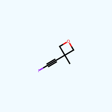 CC1(C#CI)COC1